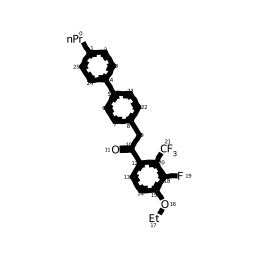 CCCc1ccc(-c2ccc(CC(=O)c3ccc(OCC)c(F)c3C(F)(F)F)cc2)cc1